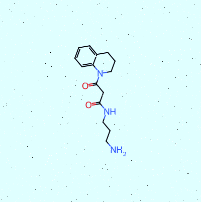 NCCCNC(=O)CC(=O)N1CCCc2ccccc21